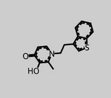 Cc1c(O)c(=O)ccn1CCc1csc2ccccc12